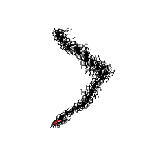 O=P(O)(O)O.O=P(O)(O)O.O=P(O)(O)O.O=P(O)(O)O.O=P(O)(O)O.O=P(O)(O)O.O=P([O-])([O-])[O-].O=P([O-])([O-])[O-].O=P([O-])([O-])[O-].O=P([O-])([O-])[O-].O=P([O-])([O-])[O-].O=P([O-])([O-])[O-].O=S(=O)([O-])[O-].O=S(=O)([O-])[O-].O=S(=O)([O-])[O-].O=S(=O)([O-])[O-].O=S(=O)([O-])[O-].O=S(=O)([O-])[O-].[Mo+6].[Mo+6].[Mo+6].[Mo+6].[Mo+6]